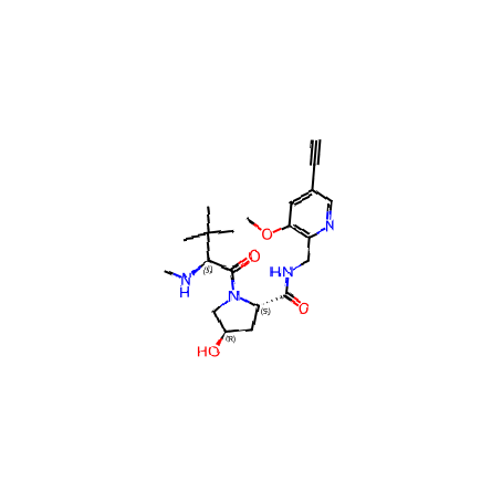 C#Cc1cnc(CNC(=O)[C@@H]2C[C@@H](O)CN2C(=O)[C@@H](NC)C(C)(C)C)c(OC)c1